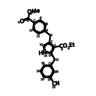 CCOC(=O)c1c(Cc2ccc(C(=O)OC)cc2)c[nH]c1Cc1cccc(C#N)c1